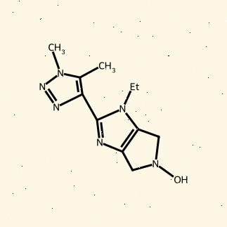 CCn1c(-c2nnn(C)c2C)nc2c1CN(O)C2